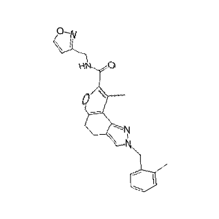 Cc1ccccc1Cn1cc2c(n1)-c1c(oc(C(=O)NCc3ccon3)c1C)CC2